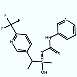 CC(c1ccc(C(F)(F)F)nc1)[SH](C)(O)=NC(=S)Nc1cccnc1